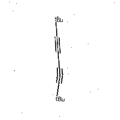 CC(C)(C)C#CC#CC(C)(C)C